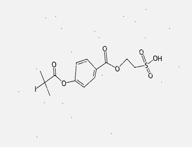 CC(C)(I)C(=O)Oc1ccc(C(=O)OCCS(=O)(=O)O)cc1